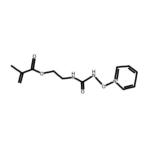 C=C(C)C(=O)OCCNC(=O)NO[n+]1ccccc1